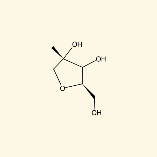 C[C@]1(O)CO[C@H](CO)C1O